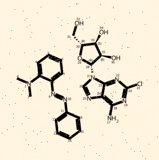 CN(C)c1ccccc1N=Nc1ccccc1.Nc1nc(Cl)nc2c1ncn2[C@@H]1O[C@H](CO)[C@@H](O)[C@H]1O